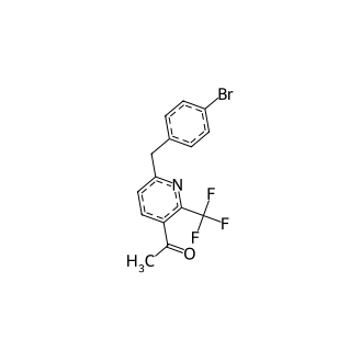 CC(=O)c1ccc(Cc2ccc(Br)cc2)nc1C(F)(F)F